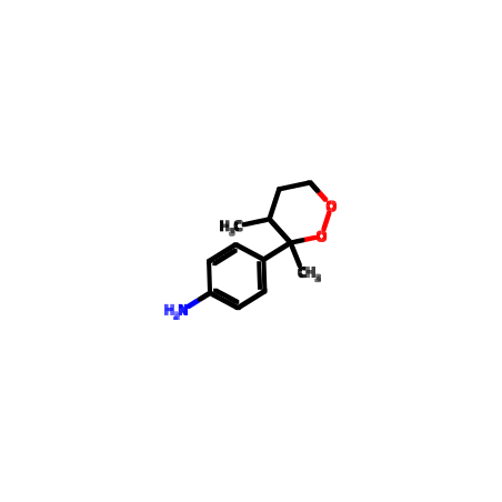 CC1CCOOC1(C)c1ccc(N)cc1